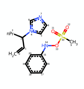 C=CC(CCC)n1ccnc1.CS(=O)(=O)ONc1ccccc1